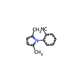 Cc1ccc(C)n1-c1ccccc1C#N